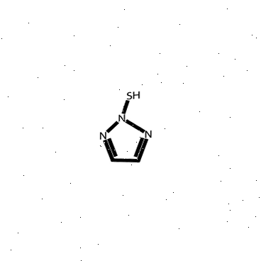 Sn1nccn1